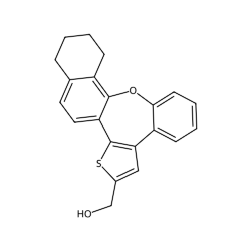 OCc1cc2c(s1)-c1ccc3c(c1Oc1ccccc1-2)CCCC3